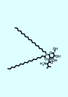 CCCCCCCCCCCCCCCCCCN(C(=O)CCCCCCCCCCCCCCCCC)[C@@H]1O[C@H](CO)[C@@H](O)[C@H](O)[C@H]1NC(=O)[C@@H](N)C(C)C